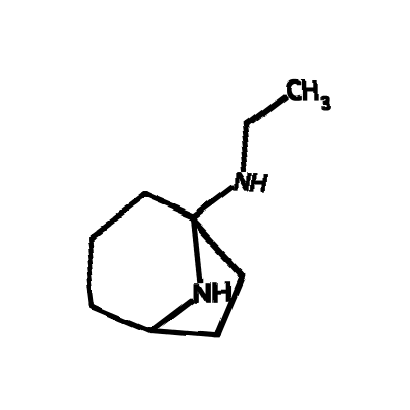 CCNC12CCCC(CC1)N2